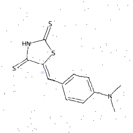 CN(C)c1ccc(/C=C2\SC(=S)NC2=S)cc1